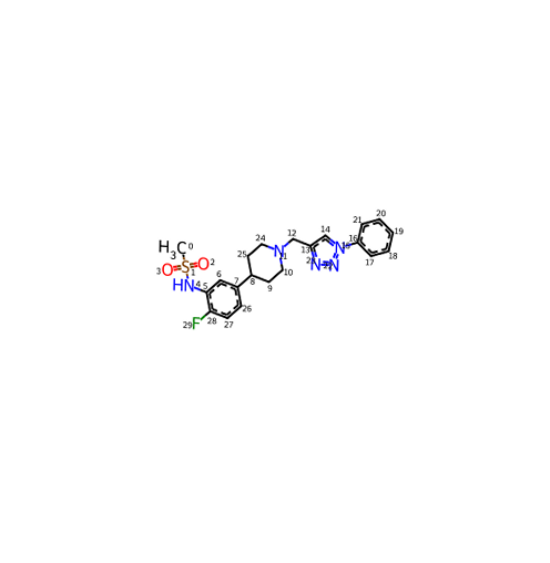 CS(=O)(=O)Nc1cc(C2CCN(Cc3cn(-c4ccccc4)nn3)CC2)ccc1F